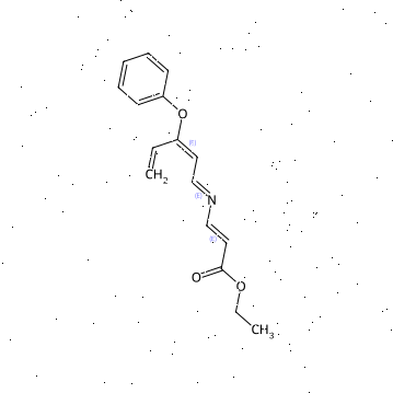 C=C\C(=C/C=N/C=C/C(=O)OCC)Oc1ccccc1